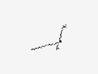 CCCCCCCCCCCCCCCCC(CCN(C)C)C1CC1CCCCCCCC(=O)O